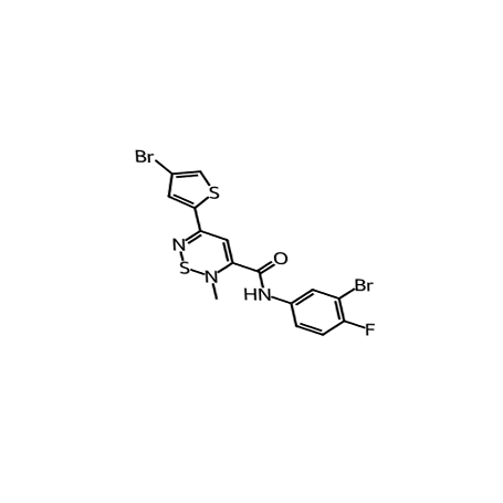 CN1SN=C(c2cc(Br)cs2)C=C1C(=O)Nc1ccc(F)c(Br)c1